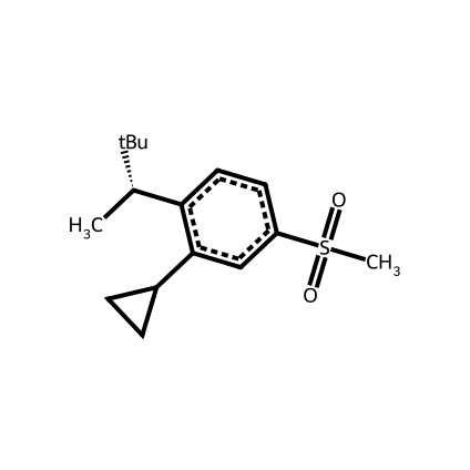 C[C@@H](c1ccc(S(C)(=O)=O)cc1C1CC1)C(C)(C)C